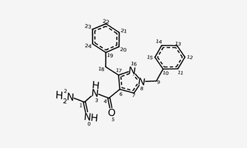 N=C(N)NC(=O)c1cn(Cc2ccccc2)nc1Cc1ccccc1